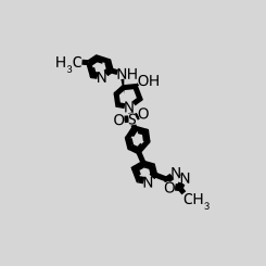 Cc1ccc(N[C@@H]2CCN(S(=O)(=O)c3ccc(-c4ccnc(-c5nnc(C)o5)c4)cc3)C[C@@H]2O)nc1